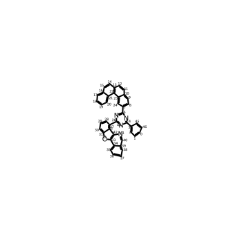 c1ccc(-c2nc(-c3ccc4ccc5ccc6ccccc6c5c4c3)nc(-c3cccc4oc5c6ccccc6cnc5c34)n2)cc1